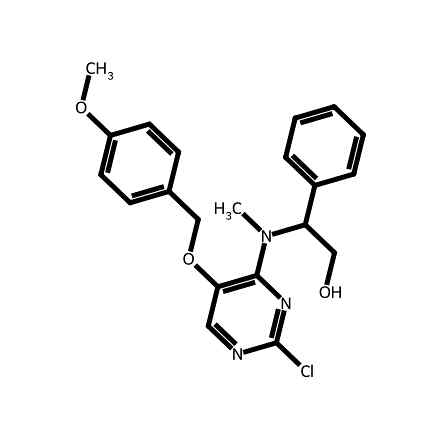 COc1ccc(COc2cnc(Cl)nc2N(C)C(CO)c2ccccc2)cc1